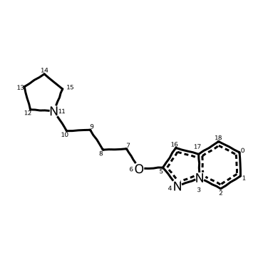 c1ccn2nc(OCCCCN3CCCC3)cc2c1